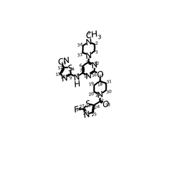 CN1CCN(c2cc(Nc3ncc(C#N)s3)nc(OC3CCN(C(=O)c4cnc(F)s4)CC3)n2)CC1